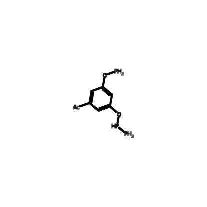 CC(=O)c1cc(OP)cc(OPP)c1